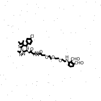 CC1=C(C)C2C(c3ccc(Cl)cc3)=N[C@@H](CC(=O)CNNC(=O)CCOCCOCCOCCNC3=CCCC(C=O)=C3C=O)c3nnc(C)n3C2S1